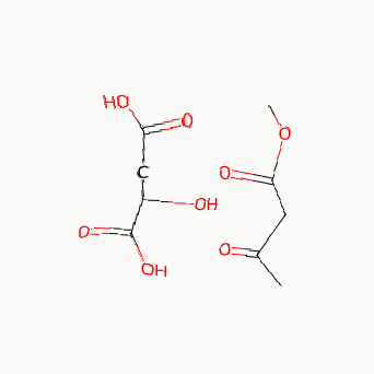 COC(=O)CC(C)=O.O=C(O)CC(O)C(=O)O